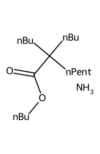 CCCCCC(CCCC)(CCCC)C(=O)OCCCC.N